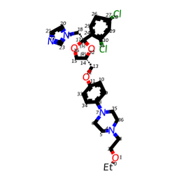 CCOCCN1CCN(c2ccc(OC[C@@H]3CO[C@@](Cn4ccnc4)(c4ccc(Cl)cc4Cl)O3)cc2)CC1